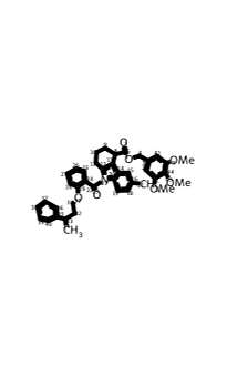 COc1cc(COC(=O)C2CCCc3c2c2cc(C)ccc2n3C(=O)c2ccccc2OCCC(C)c2ccccc2)cc(OC)c1OC